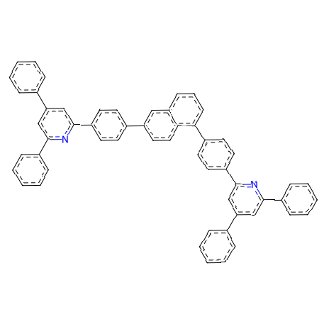 c1ccc(-c2cc(-c3ccccc3)nc(-c3ccc(-c4ccc5c(-c6ccc(-c7cc(-c8ccccc8)cc(-c8ccccc8)n7)cc6)cccc5c4)cc3)c2)cc1